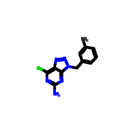 Nc1nc(Cl)c2nnn(Cc3cccc([N+](=O)[O-])c3)c2n1